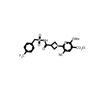 CCOC(=O)c1cc(C#N)c(N2CC(C(=O)NS(=O)(=O)Cc3ccc(C(F)(F)F)cc3)C2)nc1OC